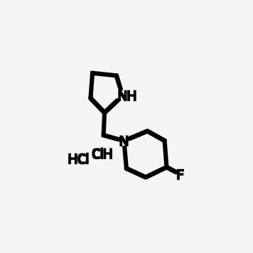 Cl.Cl.FC1CCN(CC2CCCN2)CC1